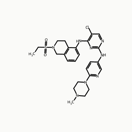 CCS(=O)(=O)N1CCc2c(cccc2Nc2nc(Nc3ccc(N4CCN(C)CC4)nc3)ncc2Cl)C1